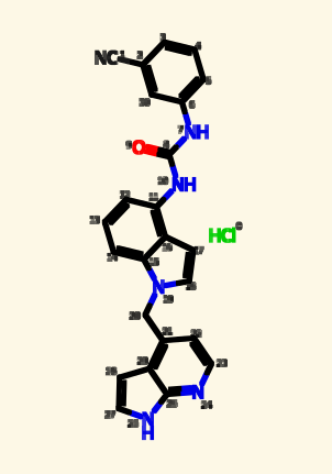 Cl.N#Cc1cccc(NC(=O)Nc2cccc3c2ccn3Cc2ccnc3[nH]ccc23)c1